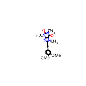 COc1ccc(C#Cc2nc3c(c(=O)n(C)c(=O)n3C)n2C)cc1OC